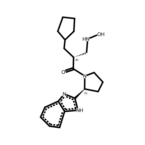 O=C([C@@H](CNO)CC1CCCC1)N1CCC[C@H]1c1nc2ccccc2[nH]1